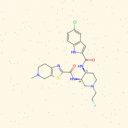 CN1CCc2nc(C(=O)N[C@@H]3CN(CCF)CC[C@@H]3NC(=O)c3cc4cc(Cl)ccc4[nH]3)sc2C1